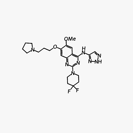 COc1cc2c(Nc3cn[nH]n3)nc(N3CCC(F)(F)CC3)nc2cc1OCCCN1CCCC1